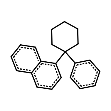 c1ccc(C2(c3cccc4ccccc34)CCCCC2)cc1